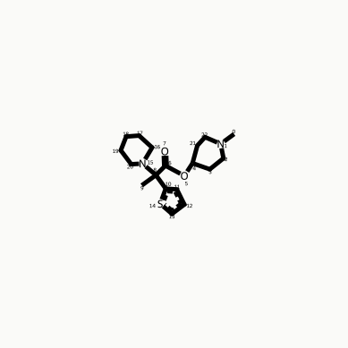 CN1CCC(OC(=O)C(C)(c2cccs2)N2CCCCC2)CC1